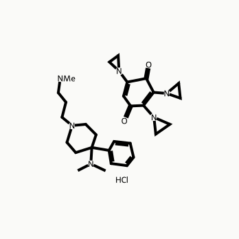 CNCCCN1CCC(c2ccccc2)(N(C)C)CC1.Cl.O=C1C=C(N2CC2)C(=O)C(N2CC2)=C1N1CC1